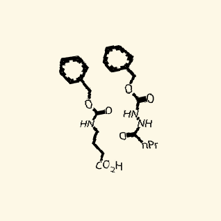 CCCC(=O)NNC(=O)OCc1ccccc1.O=C(O)CCCNC(=O)OCc1ccccc1